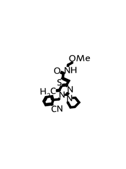 C=C1c2sc(C(=O)NCCOC)cc2N=C(N2CCCCC2)N1Cc1ccccc1C#N